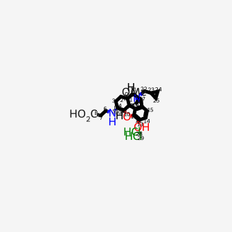 CO[C@@]12CC[C@H](NCCC(=O)O)[C@@H]3Oc4c(O)ccc5c4[C@@]31CCN(CC1CC1)[C@@H]2C5.Cl.Cl